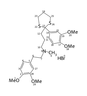 Br.COc1ccc(CCN(C)CCCC2(c3ccc(OC)c(OC)c3)SCCCS2)cc1OC